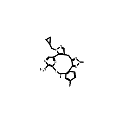 C[C@H]1Oc2nc(cnc2N)-c2c(cnn2CC2CC2)Cc2nn(C)nc2-c2ccc(F)cc21